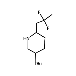 CC(F)(F)CC1CCC(C(C)(C)C)CN1